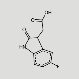 O=C(O)CC1C(=O)Nc2ccc(F)cc21